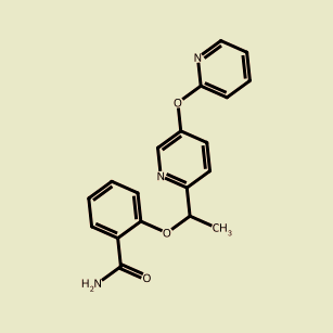 CC(Oc1ccccc1C(N)=O)c1ccc(Oc2ccccn2)cn1